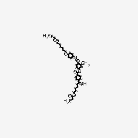 C=C=COOCCCCCCOc1ccc(OCOc2ccc(OC(=O)c3ccc(C(O)CCCCCOC(=O)C=C)cc3)cc2C)cc1